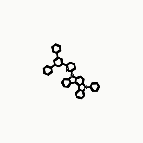 C1=C(C2=NC(n3c4ccccc4c4c5c6ccccc6n(-c6ccccc6)c5ccc43)=CCC2)CC(c2ccccc2)C=C1c1ccccc1